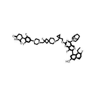 CCc1c(F)ccc2cc(O)cc(-c3ncc4c(N5CC6CCC(C5)N6)nc(OCC5(CN6CCC7(CC6)CC(F)(CN6CCN(c8cc(F)c(C9CCC(=O)NC9=O)c(F)c8)CC6)C7)CC5)nc4c3F)c12